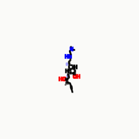 CC#CC[C@H](C)[C@H](O)/C=C/[C@@H]1[C@H]2C/C(=C/CNCCN(C)C)C[C@H]2C[C@H]1O